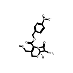 CSCC1=C(C(=O)OCc2ccc([N+](=O)[O-])cc2)N2C(=O)C(N)[C@H]2SC1